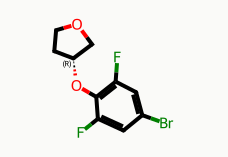 Fc1cc(Br)cc(F)c1O[C@@H]1CCOC1